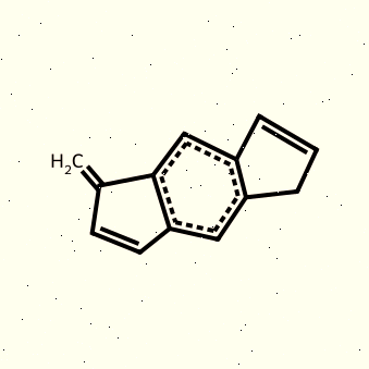 C=C1C=Cc2cc3c(cc21)C=CC3